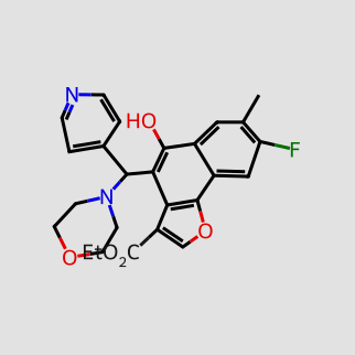 CCOC(=O)c1coc2c1c(C(c1ccncc1)N1CCOCC1)c(O)c1cc(C)c(F)cc12